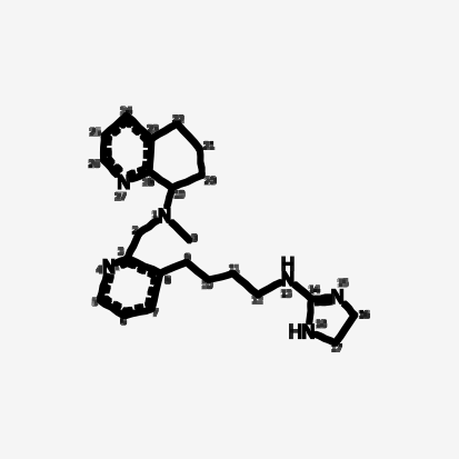 CN(Cc1ncccc1CCCCNC1=NCCN1)C1CCCc2cccnc21